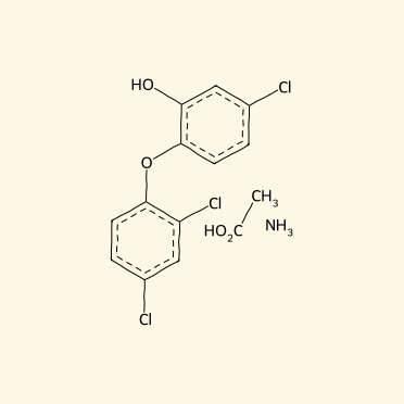 CC(=O)O.N.Oc1cc(Cl)ccc1Oc1ccc(Cl)cc1Cl